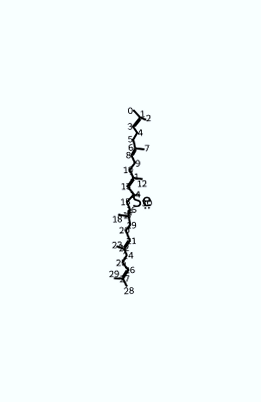 CC(C)=CCC/C(C)=C/CC/C(C)=C/CC/C=C(\C)CC/C=C(\C)CCC=C(C)C.[Se]